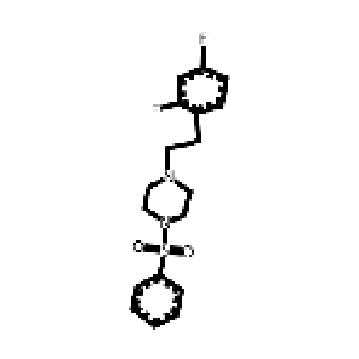 O=S(=O)(c1ccccc1)N1CCN(CCc2ccc(F)cc2F)CC1